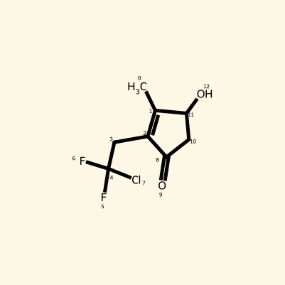 CC1=C(CC(F)(F)Cl)C(=O)CC1O